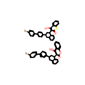 O=c1oc2ccccc2c(O)c1C1CC(c2ccc(-c3ccc(Br)cc3)cc2)Cc2ccccc21.O=c1sc2ccccc2c(O)c1C1CC(c2ccc(-c3ccc(Br)cc3)cc2)Cc2ccccc21